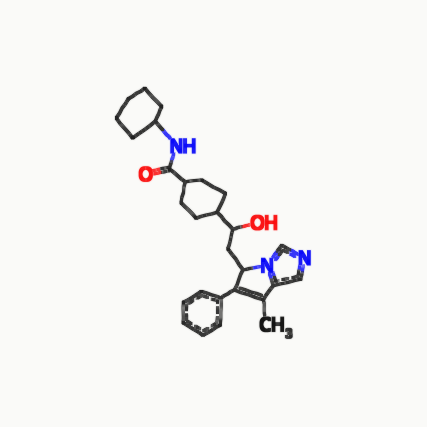 CC1=C(c2ccccc2)C(CC(O)C2CCC(C(=O)NC3CCCCC3)CC2)n2cncc21